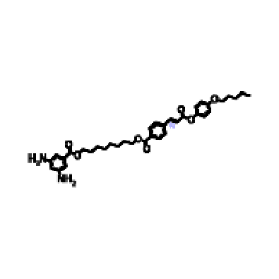 CCCCCOc1ccc(OC(=O)/C=C/c2ccc(C(=O)OCCCCCCCCOC(=O)c3cc(N)cc(N)c3)cc2)cc1